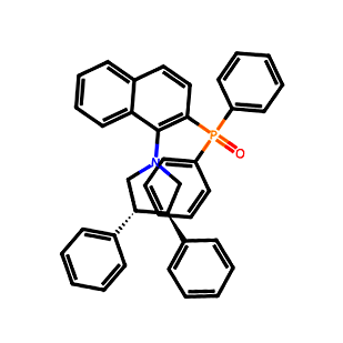 O=P(c1ccccc1)(c1ccccc1)c1ccc2ccccc2c1N1C[C@@H](c2ccccc2)[C@H](c2ccccc2)C1